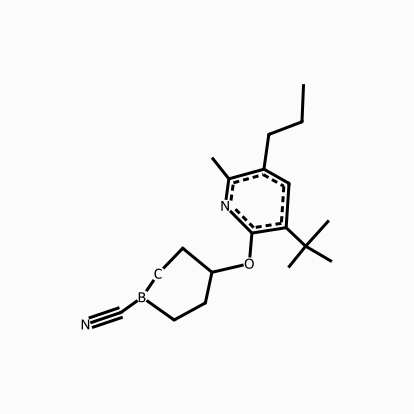 CCCc1cc(C(C)(C)C)c(OC2CCB(C#N)CC2)nc1C